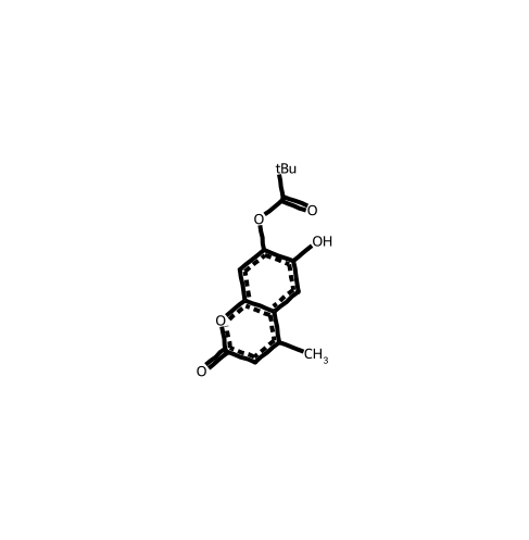 Cc1cc(=O)oc2cc(OC(=O)C(C)(C)C)c(O)cc12